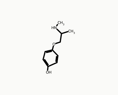 CNC(C)COc1ccc(O)cc1